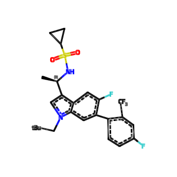 C[C@@H](NS(=O)(=O)C1CC1)c1cn(CC(C)(C)C)c2cc(-c3ccc(F)cc3C(F)(F)F)c(F)cc12